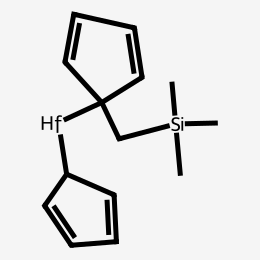 C[Si](C)(C)C[C]1([Hf][CH]2C=CC=C2)C=CC=C1